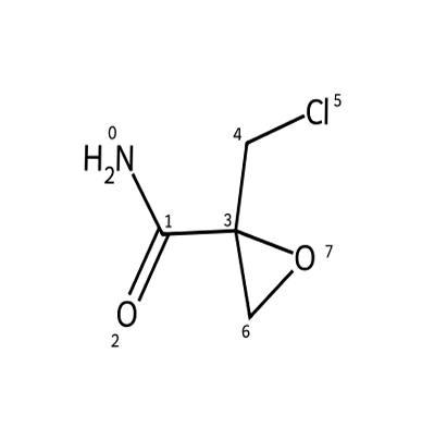 NC(=O)C1(CCl)CO1